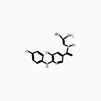 C=C(c1cnc(Nc2ccc(Cl)cc2)c(Cl)c1)N(/C=C(\N)C(C)(C)C)CC